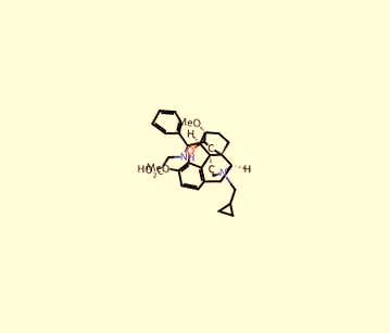 COc1ccc2c3c1O[C@@H]1[C@]34CCN(CC3CC3)[C@H](C2)[C@]42CC[C@@]1(OC)C([C@@H](NCC(=O)O)c1ccccc1)C2